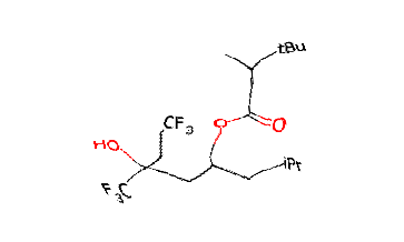 CC(C)CC(CC(O)(C(F)(F)F)C(F)(F)F)OC(=O)C(C)C(C)(C)C